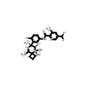 Cc1cc(C(F)F)cnc1C(=O)Nc1ccc(F)c([C@@]2(C)N=C(N)C3(CCC3)S(O)(O)[C@@H]2F)c1